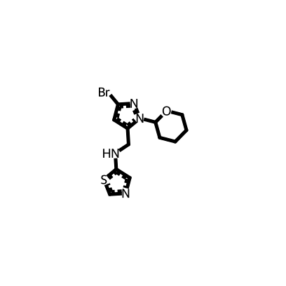 Brc1cc(CNc2cncs2)n(C2CCCCO2)n1